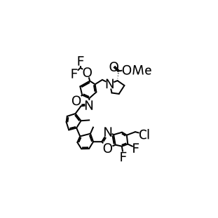 COC(=O)[C@@H]1CCCN1Cc1cc2nc(-c3cccc(-c4cccc(-c5nc6cc(CCl)c(F)c(F)c6o5)c4C)c3C)oc2cc1OC(F)F